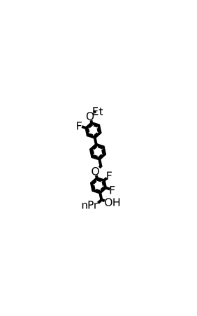 CCCC(O)c1ccc(OCc2ccc(-c3ccc(OCC)c(F)c3)cc2)c(F)c1F